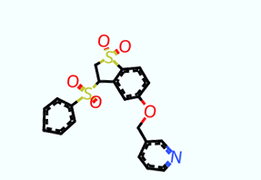 O=S1(=O)CC(S(=O)(=O)c2ccccc2)c2cc(OCc3cccnc3)ccc21